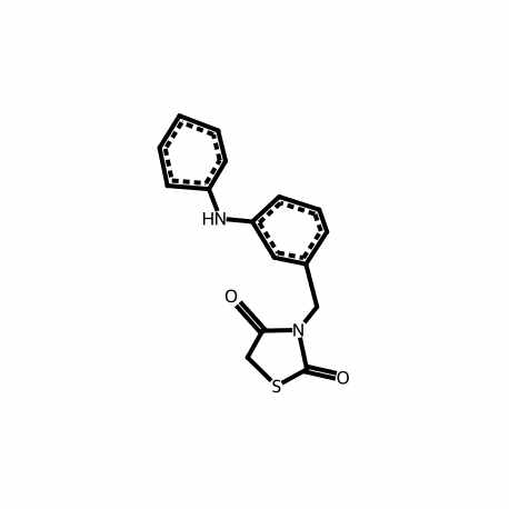 O=C1CSC(=O)N1Cc1cccc(Nc2ccccc2)c1